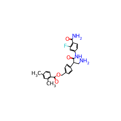 Cc1ccc(C(=O)OCc2ccc(C(CN)C(=O)Nc3ccc(C(N)=O)c(F)c3)cc2)c(C)c1